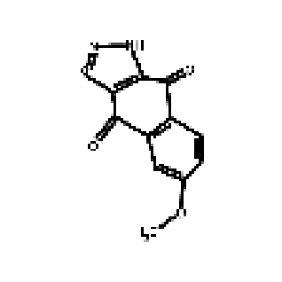 COc1ccc2c(c1)C(=O)c1nn[nH]c1C2=O